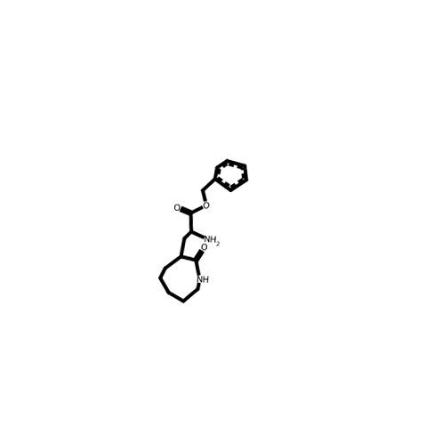 NC(CC1CCCCCNC1=O)C(=O)OCc1ccccc1